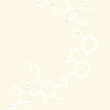 CCOc1cc(/C(F)=C/c2cccc(-c3cccc(NC(=O)c4nc5c(n4C)CCN(C)C5)c3Cl)c2C)c(Cl)c(F)c1CNC1(C(=O)O)CC1